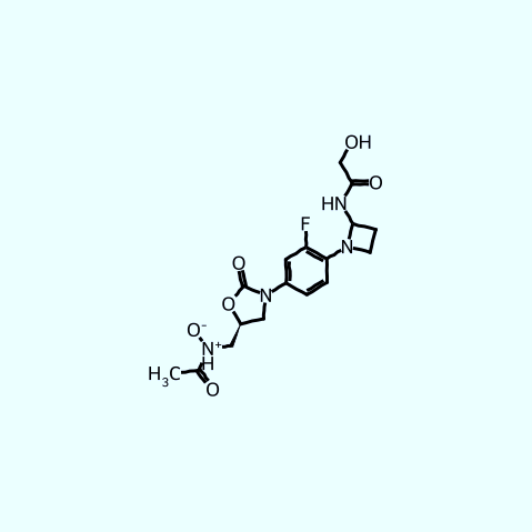 CC(=O)[NH+]([O-])C[C@@H]1CN(c2ccc(N3CCC3NC(=O)CO)c(F)c2)C(=O)O1